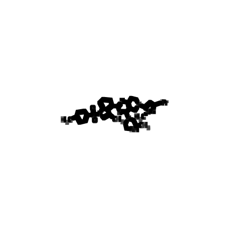 Cc1ccc(S(=O)(=O)n2cc(C)c3c(-c4nc5c(c(N6CCNC(C)C6)n4)CN(c4cc(C(C)C)nn4C)CC5)cccc32)cc1